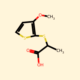 COc1ccsc1SC(C)C(=O)O